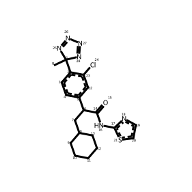 CC1(c2ccc(C(CC3CCCCC3)C(=O)Nc3nccs3)cc2Cl)N=NN=N1